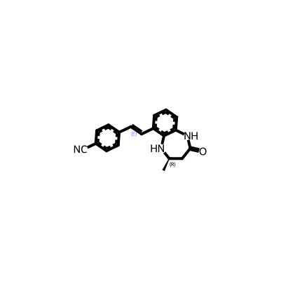 C[C@@H]1CC(=O)Nc2cccc(/C=C/c3ccc(C#N)cc3)c2N1